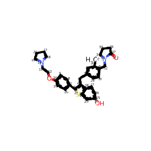 Cc1cc(Cc2c(-c3ccc(OCCN4CCCC4)cc3)sc3cc(O)ccc23)ccc1CN1CCCC1=O